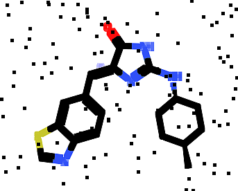 C[C@H]1CC[C@H](NC2=N/C(=C\c3ccc4ncsc4c3)C(=O)N2)CC1